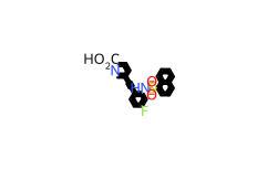 O=C(O)c1ccc(C#Cc2ccc(F)cc2NS(=O)(=O)c2cccc3ccccc23)cn1